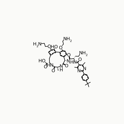 Cc1nc(-c2ccc(C(C)(C)C)cc2)nc(C)c1C(=O)N[C@@H](CCN)C(=O)N(C)[C@@H]1C(=O)N[C@@H](C)C(=O)N[C@H](C(=O)O)Cc2cc(OCCN)c(O)c(c2)-c2cc1ccc2OCCN